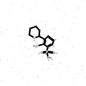 Cc1c(C2CCCCO2)cccc1S(N)(=O)=O